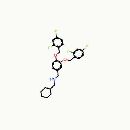 Fc1ccc(COc2ccc(CNCC3CCCCC3)cc2OCc2ccc(F)cc2F)c(F)c1